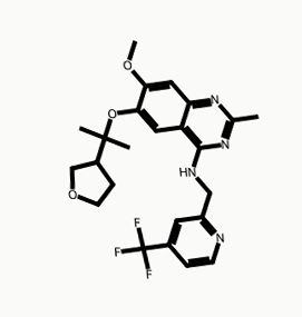 COc1cc2nc(C)nc(NCc3cc(C(F)(F)F)ccn3)c2cc1OC(C)(C)C1CCOC1